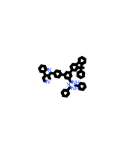 CC1(c2ccccc2)c2ccccc2-c2ccc(-c3cc(-c4ccc(-c5nc6ccccc6c6ccncc56)cc4)cc(C4N=C(c5ccccc5)NC(c5ccccc5)N4)c3)cc21